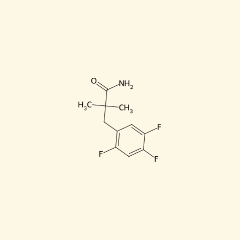 CC(C)(Cc1cc(F)c(F)cc1F)C(N)=O